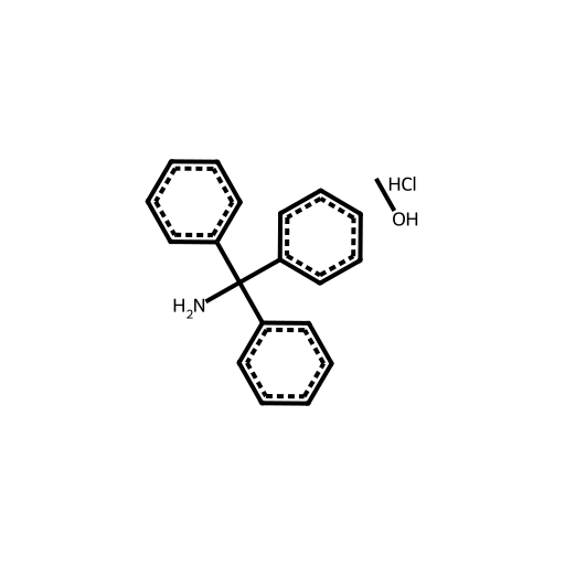 CO.Cl.NC(c1ccccc1)(c1ccccc1)c1ccccc1